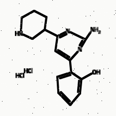 Cl.Cl.Nc1nc(-c2ccccc2O)cc(C2CCCNC2)n1